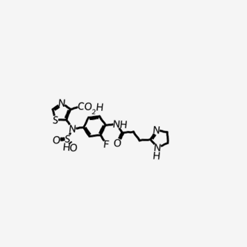 O=C(CCC1=NCCN1)Nc1ccc(N(c2scnc2C(=O)O)[SH](=O)=O)cc1F